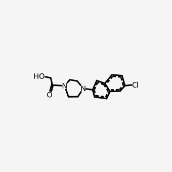 O=C(CO)N1CCN(c2ccc3cc(Cl)ccc3c2)CC1